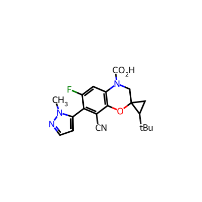 Cn1nccc1-c1c(F)cc2c(c1C#N)OC1(CC1C(C)(C)C)CN2C(=O)O